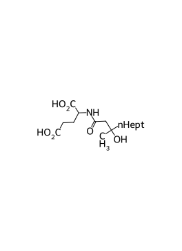 CCCCCCCC(C)(O)CC(=O)NC(CCC(=O)O)C(=O)O